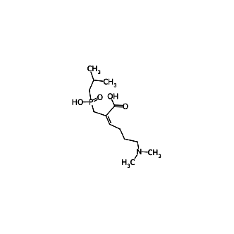 CC(C)CP(=O)(O)C/C(=C/CCCN(C)C)C(=O)O